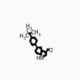 CC(C)(C)c1ccc(-c2ccc3[nH]cc(C=O)c3c2)cc1